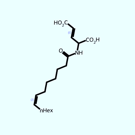 CCCCCC/C=C\CCCCCC(=O)NC(/C=C/C(=O)O)C(=O)O